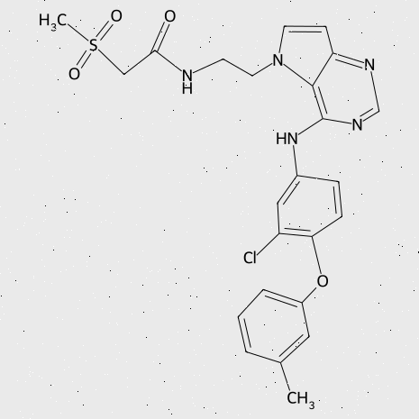 Cc1cccc(Oc2ccc(Nc3ncnc4ccn(CCNC(=O)CS(C)(=O)=O)c34)cc2Cl)c1